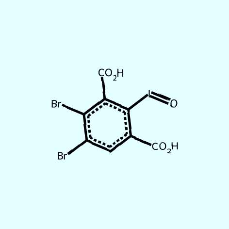 O=Ic1c(C(=O)O)cc(Br)c(Br)c1C(=O)O